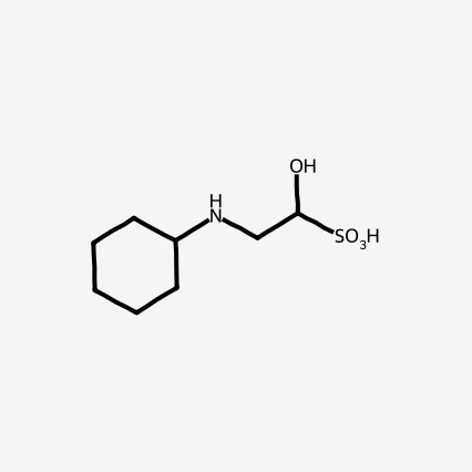 O=S(=O)(O)C(O)CNC1CCCCC1